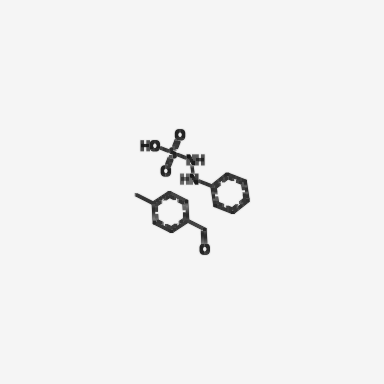 Cc1ccc(C=O)cc1.O=S(=O)(O)NNc1ccccc1